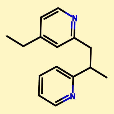 CCc1ccnc(CC(C)c2ccccn2)c1